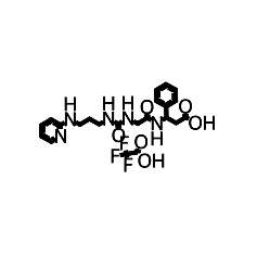 O=C(O)C(F)(F)F.O=C(O)CC(NC(=O)CNC(=O)NCCCNc1ccccn1)c1ccccc1